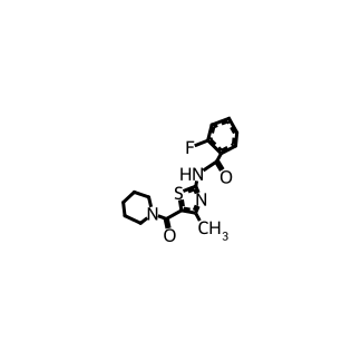 Cc1nc(NC(=O)c2ccccc2F)sc1C(=O)N1CCCCC1